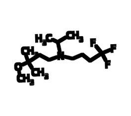 COC(C)(C)CCN(CCCC(F)(F)F)C(C)C